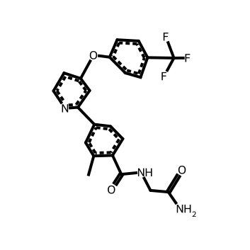 Cc1cc(-c2cc(Oc3ccc(C(F)(F)F)cc3)ccn2)ccc1C(=O)NCC(N)=O